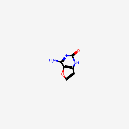 Nc1nc(=O)[nH]c2ccoc12